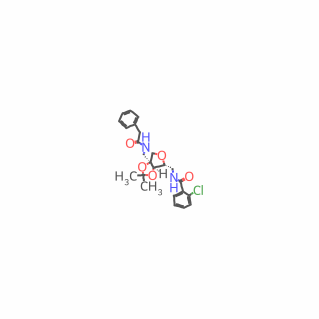 CC1(C)O[C@@H]2[C@@H](CNC(=O)c3ccccc3Cl)OC[C@]2(CNC(=O)Cc2ccccc2)O1